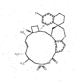 CC1CS(=O)(=O)NC(=O)c2ccc3c(c2)N(C[C@@H]2CC[C@H]2[C@@H](O)/C=C/[C@H]1C)C[C@@]1(CCCc2cc(Cl)ccc21)CO3